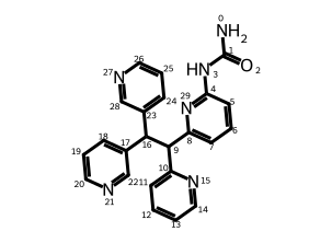 NC(=O)Nc1cccc(C(c2ccccn2)C(c2cccnc2)c2cccnc2)n1